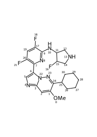 COc1cc2ncc(-c3nc(NC4CNCC4F)c(F)cc3F)n2nc1C1CCCCC1